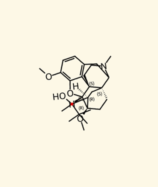 COc1ccc2c3c1O[C@H]1[C@@]4(OC)CC[C@@]5(C[C@@H]4C(C)(O)C(C)(C)C)C(C2)N(C)CC[C@]315